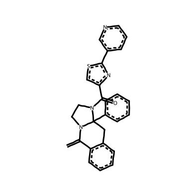 C=C1c2ccccc2CC2(c3ccccc3)N1CCN2C(=O)c1csc(-c2cccnc2)n1